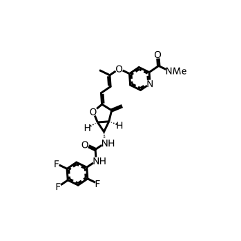 C=C1/C(=C\C=C(/C)Oc2ccnc(C(=O)NC)c2)O[C@@H]2[C@@H](NC(=O)Nc3cc(F)c(F)cc3F)[C@H]12